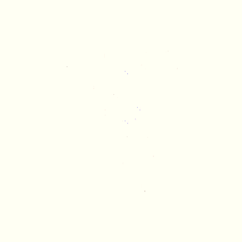 Cn1c(C(=O)c2ccccc2)c(/N=N/c2ccc(F)cc2)c2ccccc21